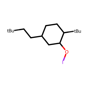 CC(C)(C)CCC1CCC(C(C)(C)C)C(OI)C1